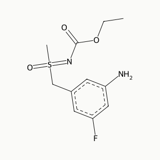 CCOC(=O)N=S(C)(=O)Cc1cc(N)cc(F)c1